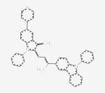 C=c1/c(=C\C=C(/C)c2ccc3c(c2)c2ccccc2n3-c2ccccc2)n(-c2ccccc2)c2ccc(-c3ccncc3)cc12